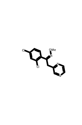 CON=C(Cc1cnccn1)c1ccc(Cl)cc1Cl